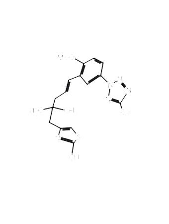 COc1ccc(-n2nnc(C)n2)cc1/C=C/CC(C)(C)Cc1csc(C)n1